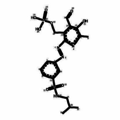 Cc1nc(N=Nc2cccc(S(=O)(=O)NCC(C)C)c2)c(COP(=O)(O)O)c(C=O)c1O